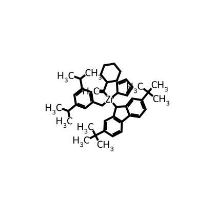 C=[C](C1CCCCC1)[Zr]([CH2]c1cc(C(C)C)cc(C(C)C)c1)([CH]1C=CC=C1)[CH]1c2cc(C(C)(C)C)ccc2-c2ccc(C(C)(C)C)cc21